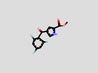 COC(=O)c1cc(C(=O)c2c(F)cc(F)cc2F)c[nH]1